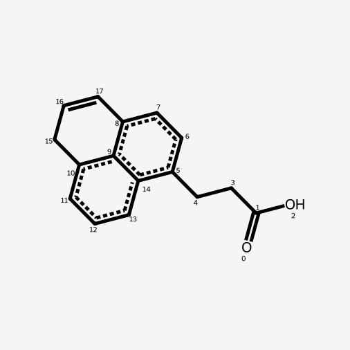 O=C(O)CCc1ccc2c3c(cccc13)CC=C2